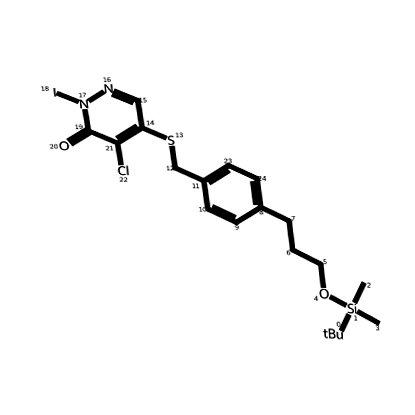 CC(C)(C)[Si](C)(C)OCCCc1ccc(CSc2cnn(I)c(=O)c2Cl)cc1